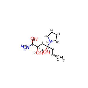 C=CCC(O)(CC(O)C(N)O)N1CCCC1